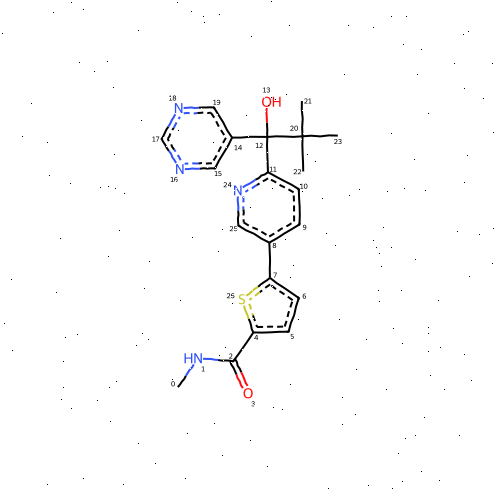 CNC(=O)c1ccc(-c2ccc(C(O)(c3cncnc3)C(C)(C)C)nc2)s1